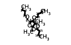 CCCCOC[C@H]1O[C@H](OC)[C@](C)(OCCCC)[C@@H]1OCCCC